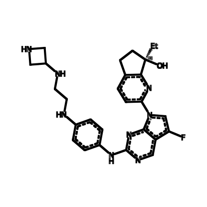 CC[C@@]1(O)CCc2ccc(-n3cc(F)c4cnc(Nc5ccc(NCCNC6CNC6)cc5)nc43)nc21